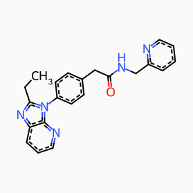 CCc1nc2cccnc2n1-c1ccc(CC(=O)NCc2ccccn2)cc1